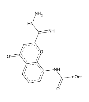 CCCCCCCCC(=O)Nc1cccc2c(=O)cc(C(=N)NN)oc12